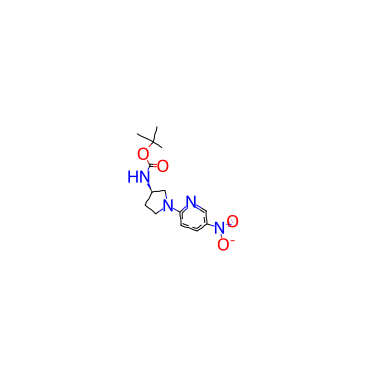 CC(C)(C)OC(=O)N[C@@H]1CCN(c2ccc([N+](=O)[O-])cn2)C1